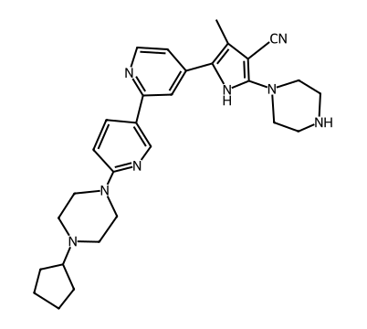 Cc1c(-c2ccnc(-c3ccc(N4CCN(C5CCCC5)CC4)nc3)c2)[nH]c(N2CCNCC2)c1C#N